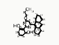 CCCOc1cc(C2=C3CCC=CC3=CC3C=CC=CC23)nc(C2=C(O)C=CCC2O)n1